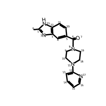 Cc1nc2cc(C(=O)N3CCN(c4ccccn4)CC3)ccc2[nH]1